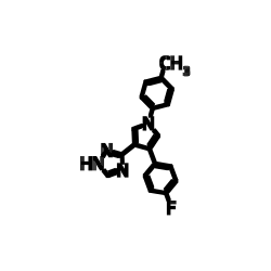 Cc1ccc(-n2cc(-c3ccc(F)cc3)c(-c3nc[nH]n3)c2)cc1